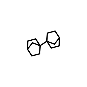 C1CC2(C34CCC(CC3)C4)CCC1C2